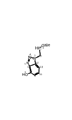 COPCn1nnc2c(O)cccc21